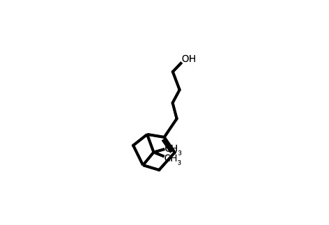 CC1(C)C2CC=C(CCCCO)C1C2